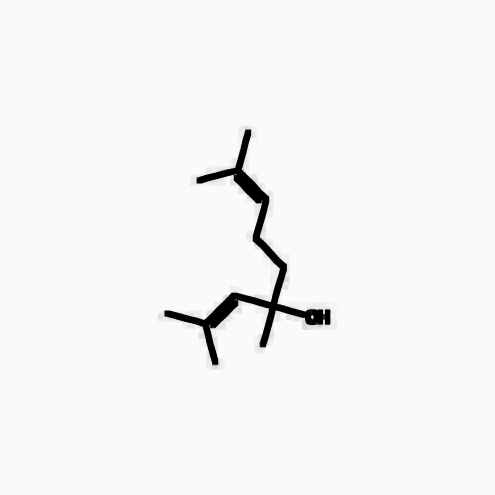 CC(C)=CCCC(C)(O)C=C(C)C